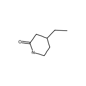 CCC1CC[N]C(=O)C1